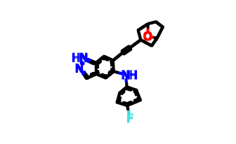 Fc1ccc(Nc2cc3cn[nH]c3cc2C#CC2CC3CCC(C2)O3)cc1